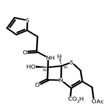 CC(=O)OCC1=C(C(=O)O)N2C(=O)[C@](O)(NC(=O)Cc3cccs3)[C@H]2SC1